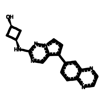 O[C@H]1C[C@@H](Nc2ncc3c(-c4ccc5nccnc5c4)ccn3n2)C1